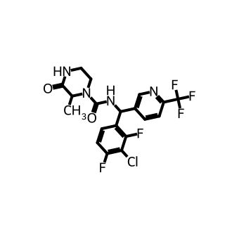 CC1C(=O)NCCN1C(=O)NC(c1ccc(C(F)(F)F)nc1)c1ccc(F)c(Cl)c1F